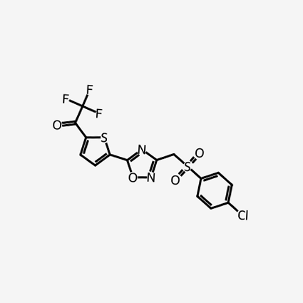 O=C(c1ccc(-c2nc(CS(=O)(=O)c3ccc(Cl)cc3)no2)s1)C(F)(F)F